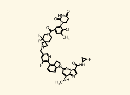 CNc1cc(N2CCc3c(-c4ncc(CN5CC6(CCN(C(=O)c7cc(C)c(Cl)c(N8CCC(=O)NC8=O)c7)CC6(F)F)C5)cc4F)cccc32)nn2c(C(=O)N[C@@H]3C[C@@H]3F)cnc12